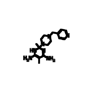 CC1=C(N)NC(C)(N2CCN(Cc3ccncc3)CC2)N=C1N